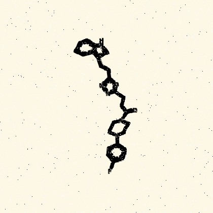 O=C(CCc1nnc(CCc2c[nH]c3ccccc23)o1)N1CCN(c2ccc(F)cc2)CC1